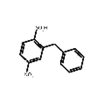 O=[N+]([O-])c1ccc(S(=O)(=O)O)c(Cc2ccccc2)c1